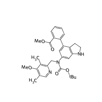 COC(=O)c1ccccc1-c1cc(N(Cc2ncc(C)c(OC)c2C)C(=O)OC(C)(C)C)cc2c1CCN2